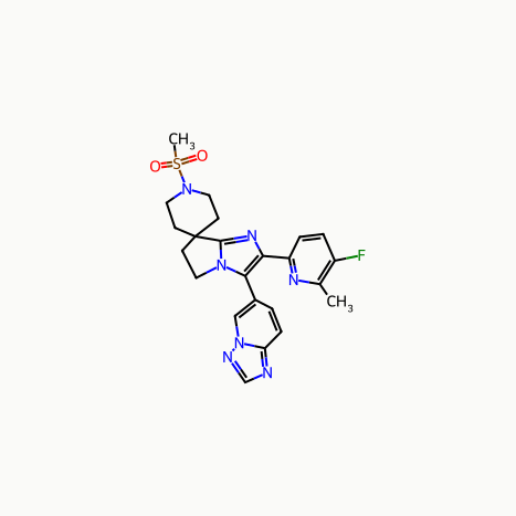 Cc1nc(-c2nc3n(c2-c2ccc4ncnn4c2)CCC32CCN(S(C)(=O)=O)CC2)ccc1F